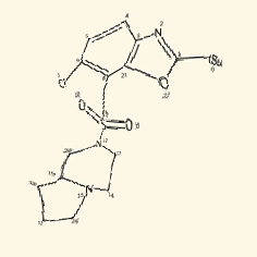 CC(C)(C)c1nc2ccc(Cl)c(S(=O)(=O)N3CCN4CCCC4C3)c2o1